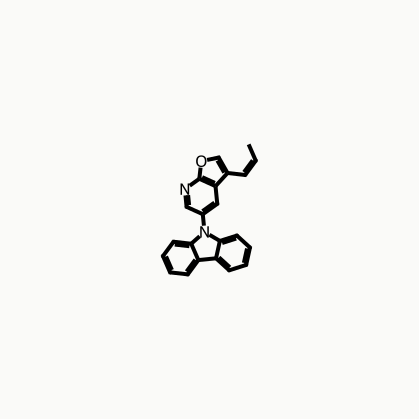 C/C=C\c1coc2ncc(-n3c4ccccc4c4ccccc43)cc12